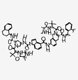 CN[C@@H](C)C(=O)N[C@H](C(=O)N1C[C@@H](NC(=O)n2ccc3c(C(=O)Nc4ccc5c(c4)CN(C(=O)[C@@H](NC(=O)[C@H](C)NC)C(C)(C)C)[C@H](C(=O)N[C@H](C)c4ccccc4F)C5)cccc32)C[C@H]1C(=O)NC1CCCc2ccccc21)C(C)(C)C